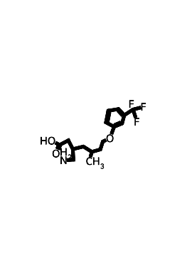 CC(CCOc1cccc(C(F)(F)F)c1)CC(CN)CC(=O)O